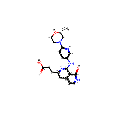 C[C@@H]1CN(c2ccc(Nc3nc(CCC(=O)O)cc4cc[nH]c(=O)c34)cn2)CCO1